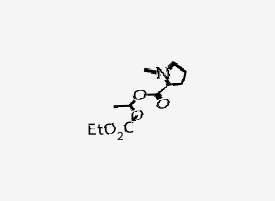 CCOC(=O)OC(C)OC(=O)[C@@H]1CCCN1C